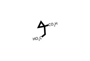 O=C(O)CC1(C(=O)O)CC1